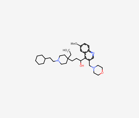 COc1ccc2ncc(CN3CCOCC3)c(C(O)CCC3(CC(=O)O)CCN(CCC4CCCCC4)CC3)c2c1